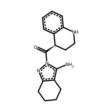 Nc1c2c(nn1C(=O)[C@@H]1CCNc3ccccc31)CCCC2